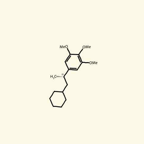 COc1cc([C@@H](C)CC2CCCCC2)cc(OC)c1OC